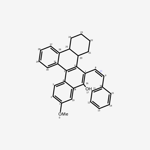 COc1ccc2c3c(c(/C=C\c4ccccc4)c(O)c2c1)C1CCCCC1c1ccccc1-3